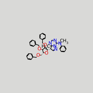 CN(C1=NC=NC2(C)C([C@@H]3O[C@H](COCc4ccccc4)[C@@H](OCc4ccccc4)[C@H]3OCc3ccccc3)C=NN12)c1ccccc1